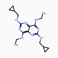 CCNc1nc(NCC2CC2)nc2c(NCC)nc(NCC3CC3)nc12